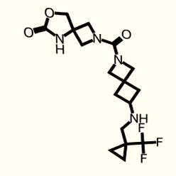 O=C1NC2(CO1)CN(C(=O)N1CC3(CC(NCC4(C(F)(F)F)CC4)C3)C1)C2